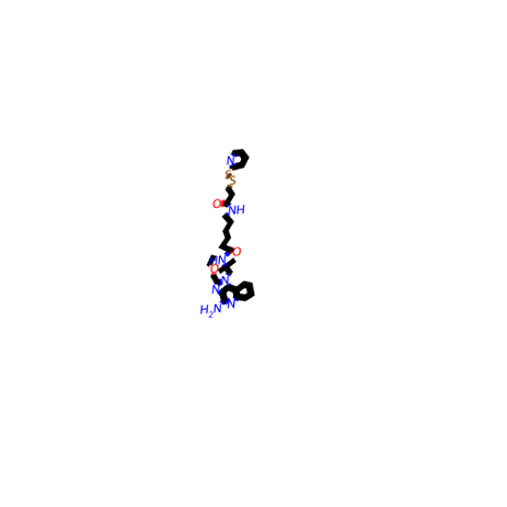 CCOCc1nc2c(N)nc3ccccc3c2n1CC(C)(C)NC(=O)CCCCCNC(=O)CCSSc1ccccn1